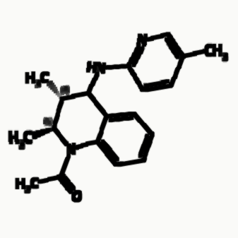 CC(=O)N1c2ccccc2C(Nc2ccc(C)cn2)[C@@H](C)[C@@H]1C